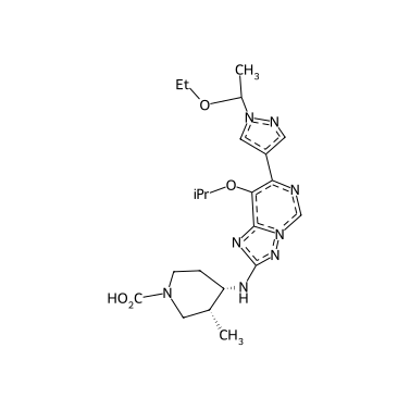 CCOC(C)n1cc(-c2ncn3nc(N[C@H]4CCN(C(=O)O)C[C@H]4C)nc3c2OC(C)C)cn1